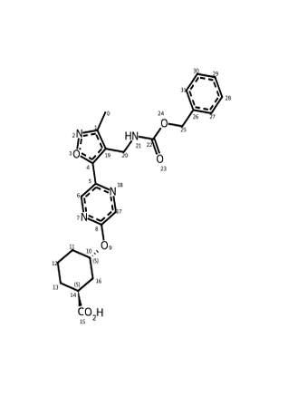 Cc1noc(-c2cnc(O[C@H]3CCC[C@H](C(=O)O)C3)cn2)c1CNC(=O)OCc1ccccc1